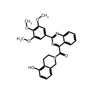 COc1cc(-c2nc(C(=O)N3CCc4c(O)cccc4C3)c3ccccc3n2)cc(OC)c1OC